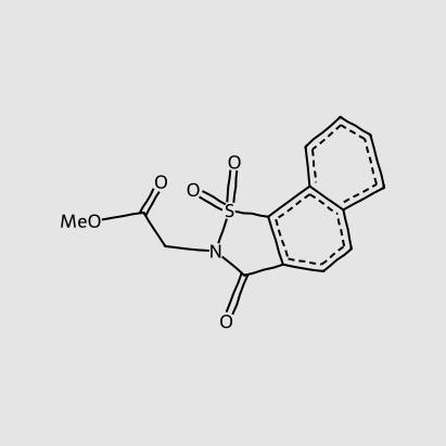 COC(=O)CN1C(=O)c2ccc3ccccc3c2S1(=O)=O